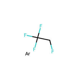 FCC(F)(F)F.[Ar]